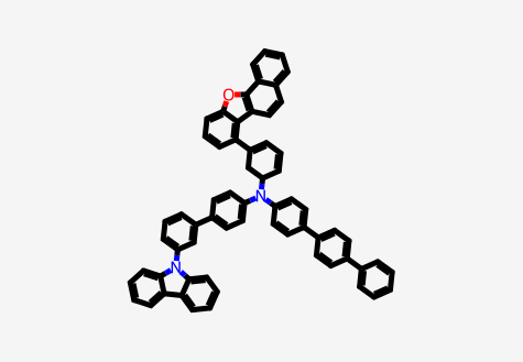 C1=CC(N(c2ccc(-c3ccc(-c4ccccc4)cc3)cc2)c2ccc(-c3cccc(-n4c5ccccc5c5ccccc54)c3)cc2)CC(c2cccc3oc4c5ccccc5ccc4c23)=C1